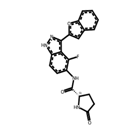 O=C1CC[C@@H](C(=O)Nc2ccc3[nH]nc(-c4cc5ccccc5o4)c3c2F)N1